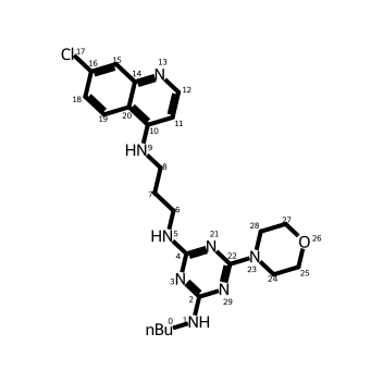 CCCCNc1nc(NCCCNc2ccnc3cc(Cl)ccc23)nc(N2CCOCC2)n1